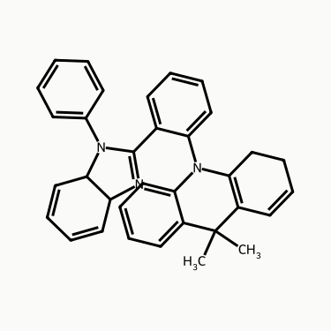 CC1(C)C2=C(CCC=C2)N(c2ccccc2C2=NC3C=CC=CC3N2c2ccccc2)c2ccccc21